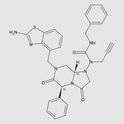 C#CCN(C(=O)NCc1ccccc1)N1CC(=O)N2[C@@H](c3ccccc3)C(=O)N(Cc3cccc4sc(N)nc34)C[C@@H]21